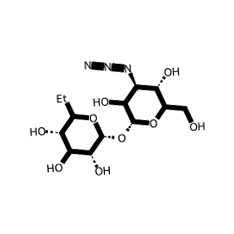 CCC1O[C@H](O[C@H]2OC(CO)[C@@H](O)[C@H](N=[N+]=[N-])C2O)[C@H](O)C(O)[C@@H]1O